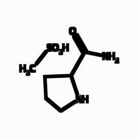 CS(=O)(=O)O.NC(=O)C1CCCN1